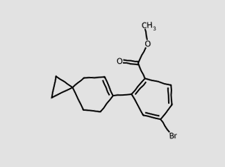 COC(=O)c1ccc(Br)cc1C1=CCC2(CC1)CC2